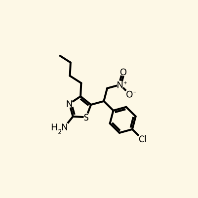 CCCCc1nc(N)sc1C(C[N+](=O)[O-])c1ccc(Cl)cc1